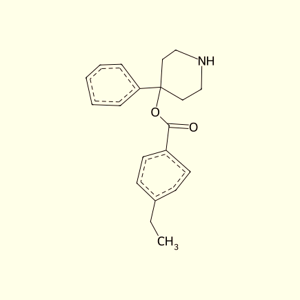 CCc1ccc(C(=O)OC2(c3ccccc3)CCNCC2)cc1